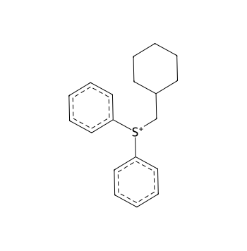 c1ccc([S+](CC2CCCCC2)c2ccccc2)cc1